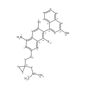 CCc1cc2c(N)nc(OCC3(CN(C)C)CC3)nc2c(F)c1-c1cc(O)cc2ccccc12